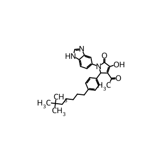 CC(=O)C1=C(O)C(=O)N(c2ccc3[nH]cnc3c2)C1c1ccc(CCCCCC(C)(C)C)cc1